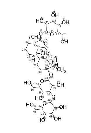 C=C1C[C@@]23CCC4[C@](C)(C(=O)OC5OC(CO)C(O)C(O)C5O)CCC[C@@]4(C)[C@@H]2CC[C@]1(OC1OC(CO)C(O)C(OC2OC(CO)C(O)C(O)C2O)C1O)[C@@H]3C